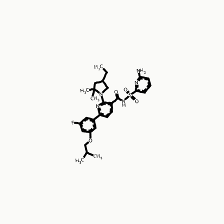 CCC1CN(c2nc(-c3cc(F)cc(OCC(C)C)c3)ccc2C(=O)NS(=O)(=O)c2cccc(N)n2)C(C)(C)C1